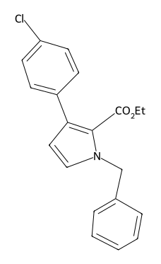 CCOC(=O)c1c(-c2ccc(Cl)cc2)ccn1Cc1ccccc1